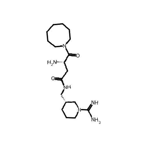 N=C(N)N1CCC[C@H](CNC(=O)C[C@H](N)C(=O)N2CCCCCCC2)C1